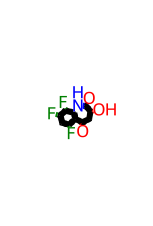 O=c1[nH]c2c(F)c(F)cc(F)c2c(=O)cc1O